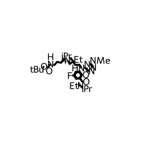 CCN(C(=O)c1cc(F)ccc1Oc1nnc(NC)nc1NCCC1(CC)CN([C@H](CCCNC(=O)OC(C)(C)C)C(C)C)C1)C(C)C